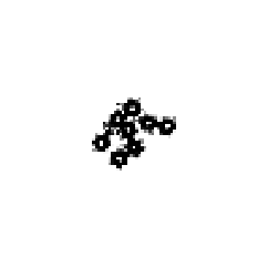 c1ccc(-c2ccc(N(c3cccc(-c4cccc5c4oc4ccccc45)c3)c3cccc4oc5cc6nc(-c7ccccc7)oc6cc5c34)cc2)cc1